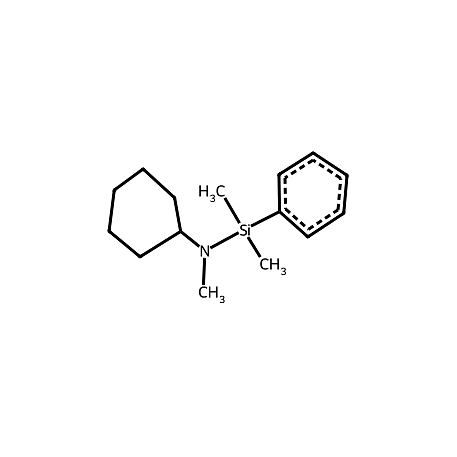 CN(C1CCCCC1)[Si](C)(C)c1ccccc1